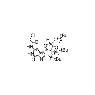 CC(C)(C)[Si](C)(C)OC1[C@H](n2cnc3c(=O)[nH]c(NC(=O)CCl)nc32)O[C@@H]2C(O[Si](C)(C)C(C)(C)C)C12O[Si](C)(C)C(C)(C)C